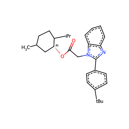 CC1CCC(C(C)C)[C@H](OC(=O)Cn2c(-c3ccc(C(C)(C)C)cc3)nc3ccccc32)C1